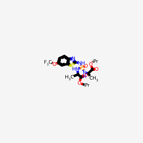 CC(C)OC(=O)C(C)NP(=O)(Nc1nc2ccc(OC(F)(F)F)cc2s1)NC(C)C(=O)OC(C)C